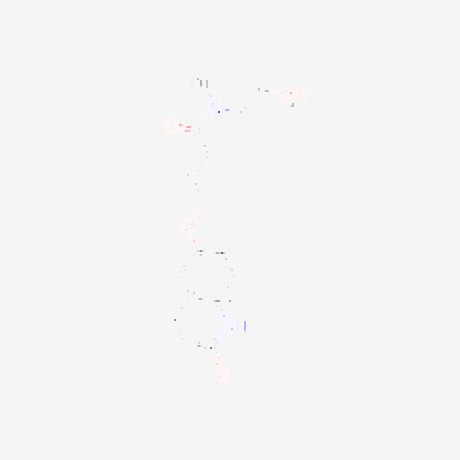 CCCCN(CCO)C(=O)CCCOc1ccc2[nH]c(=O)ccc2c1